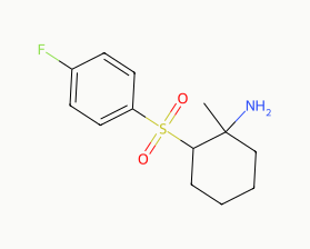 CC1(N)CCCCC1S(=O)(=O)c1ccc(F)cc1